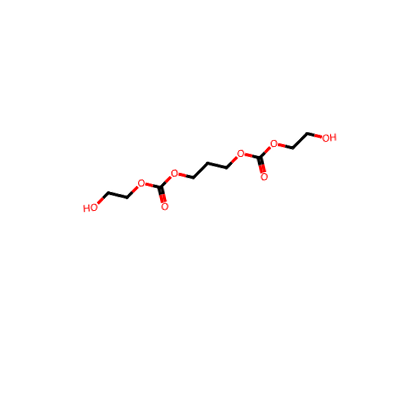 O=C(OCCO)OCCCOC(=O)OCCO